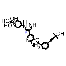 CC(C)(O)C#Cc1cccc(COc2cc(/C(C=N)=C/NC3CCN(C(O)(O)O)CC3)cnc2N)c1